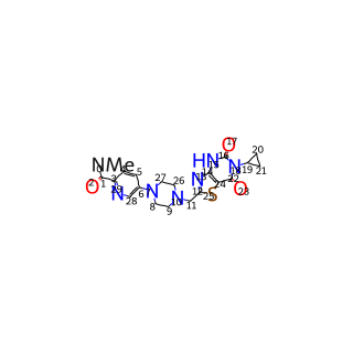 CNC(=O)c1ccc(N2CCN(Cc3nc4[nH]c(=O)n(C5CC5)c(=O)c4s3)CC2)cn1